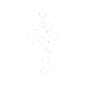 CC1(C)c2ccccc2-c2ccc(C3=CCC(C)(N(c4ccc(C5=CC=CCC5)cc4)c4cccc5c4oc4c5ccc5c4c4c(n5-c5ccccc5)CCC=C4)C=C3)cc21